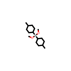 CO[Si](OC)(C1CCC(C)CC1)C1CCC(C)CC1